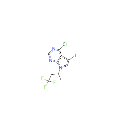 CC(CC(F)(F)F)n1cc(I)c2c(Cl)ncnc21